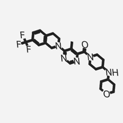 Cc1c(C(=O)N2CCC(NC3CCOCC3)CC2)ncnc1N1CCc2ccc(C(F)(F)F)cc2C1